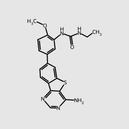 CCNC(=O)Nc1cc(-c2ccc3c(c2)sc2c(N)ncnc23)ccc1OC